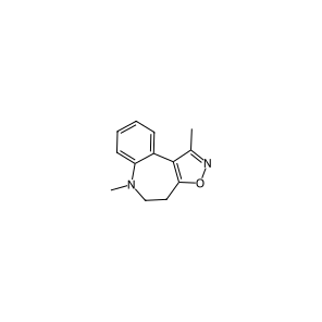 Cc1noc2c1-c1ccccc1N(C)CC2